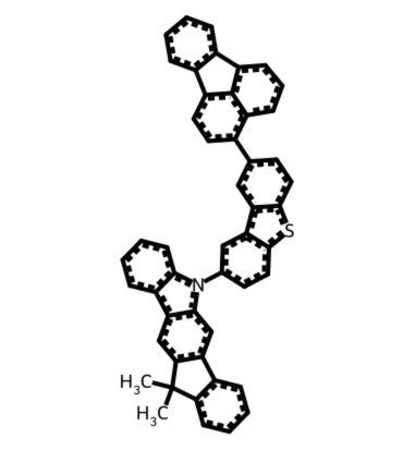 CC1(C)c2ccccc2-c2cc3c(cc21)c1ccccc1n3-c1ccc2sc3ccc(-c4ccc5c6c(cccc46)-c4ccccc4-5)cc3c2c1